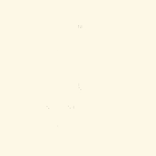 CCCNC1NC(Cl)=NC=C1C#CCCCN